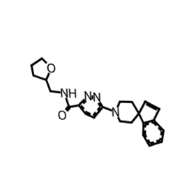 O=C(NCC1CCCO1)c1ccc(N2CCC3(C=Cc4ccccc43)CC2)nn1